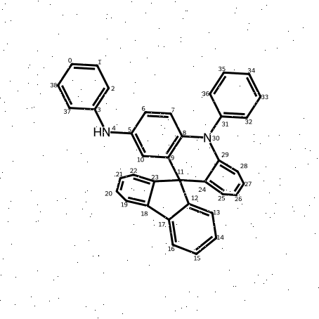 c1ccc(Nc2ccc3c(c2)C2(c4ccccc4-c4ccccc42)c2ccccc2N3c2ccccc2)cc1